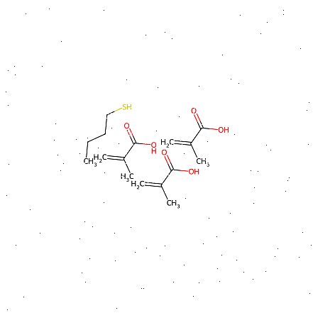 C=C(C)C(=O)O.C=C(C)C(=O)O.C=C(C)C(=O)O.CCCCS